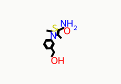 CC1=C(C(N)=O)SC(C)N1c1cccc(CCO)c1